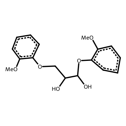 COc1ccccc1OCC(O)C(O)Oc1ccccc1OC